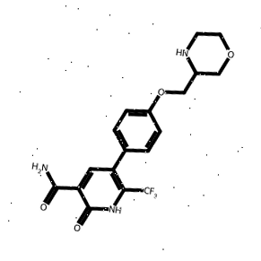 NC(=O)c1cc(-c2ccc(OCC3COCCN3)cc2)c(C(F)(F)F)[nH]c1=O